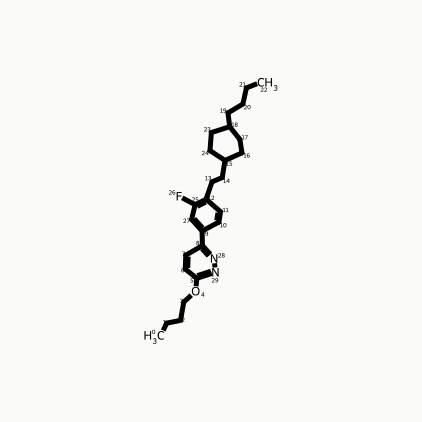 CCCCOc1ccc(-c2ccc(CCC3CCC(CCCC)CC3)c(F)c2)nn1